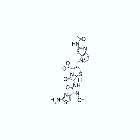 CON=C(C(=O)NC1C(=O)N2C(C(=O)[O-])=C(C[n+]3cccc4nc(NC(C)=O)sc43)CS[C@@H]12)c1csc(N)n1